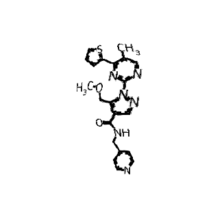 COCc1c(C(=O)NCc2ccncc2)cnn1-c1ncc(C)c(-c2cccs2)n1